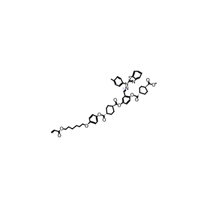 C=CC(=O)OCCCCCCOc1ccc(OC(=O)[C@H]2CC[C@H](C(=O)Oc3ccc(OC(=O)[C@H]4CC[C@H](C(=O)OC)CC4)c(/C=N/N(c4ccc(C)cc4)c4nc5ccccc5s4)c3)CC2)cc1